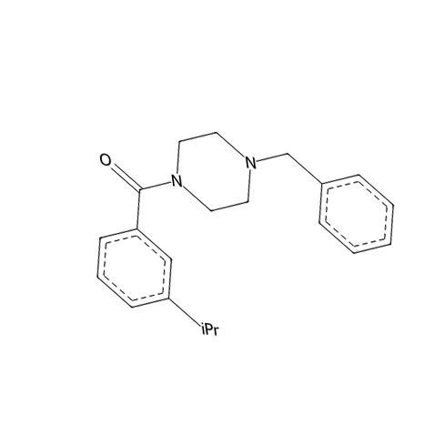 CC(C)c1cccc(C(=O)N2CCN(Cc3ccccc3)CC2)c1